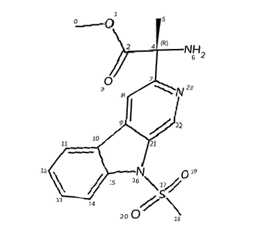 COC(=O)[C@](C)(N)c1cc2c3ccccc3n(S(C)(=O)=O)c2cn1